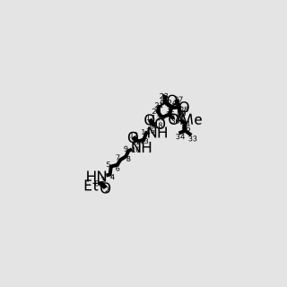 CCC(=O)NCCCCCCNC(=O)CCNC(=O)OC1CC[C@]2(CO2)C(C2(C)O[C@@H]2CC=C(C)C)C1OC